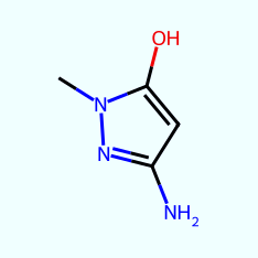 Cn1nc(N)cc1O